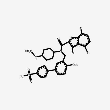 COc1ccc(-c2ccc(S(C)(=O)=O)cc2)cc1CN(C(=O)c1sc2c(F)ccc(F)c2c1Cl)C1CCC(NC(=O)O)CC1